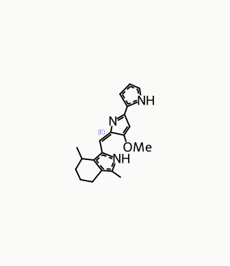 COC1=CC(c2ccc[nH]2)=N/C1=C/c1[nH]c(C)c2c1C(C)CCC2